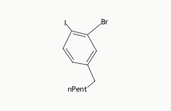 CCCCCCc1ccc(I)c(Br)c1